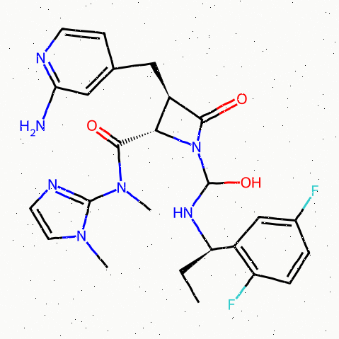 CC[C@@H](NC(O)N1C(=O)[C@H](Cc2ccnc(N)c2)[C@H]1C(=O)N(C)c1nccn1C)c1cc(F)ccc1F